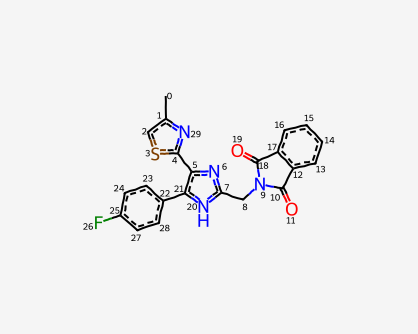 Cc1csc(-c2nc(CN3C(=O)c4ccccc4C3=O)[nH]c2-c2ccc(F)cc2)n1